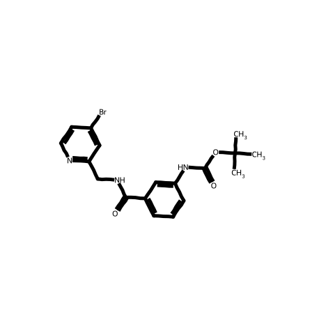 CC(C)(C)OC(=O)Nc1cccc(C(=O)NCc2cc(Br)ccn2)c1